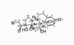 C[C@]12C=CC(=O)C=C1CC[C@@H]1[C@@H]2[C@@H](O)C[C@@]2(C)[C@H]1CC[C@]2(O)C(=O)CBr